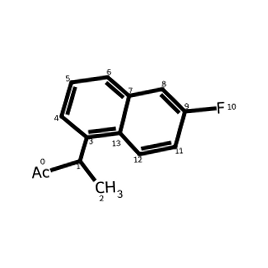 CC(=O)C(C)c1cccc2cc(F)ccc12